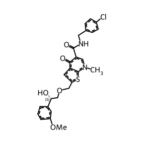 COc1cccc([C@H](O)COCc2cc3c(=O)c(C(=O)NCc4ccc(Cl)cc4)cn(C)c3s2)c1